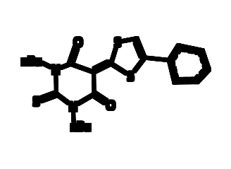 CCCCN1C(=O)C(=C2SC=C(c3ccccc3)S2)C(=O)N(CCCC)C1=S